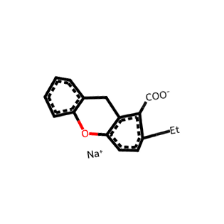 CCc1ccc2c(c1C(=O)[O-])Cc1ccccc1O2.[Na+]